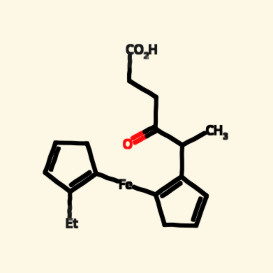 CCC1=[C]([Fe][C]2=C(C(C)C(=O)CCC(=O)O)C=CC2)CC=C1